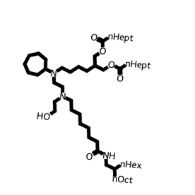 CCCCCCCCC(CCCCCC)CNC(=O)CCCCCCCN(CCO)CCN(CCCCC(COC(=O)CCCCCCC)COC(=O)CCCCCCC)C1CCCCCC1